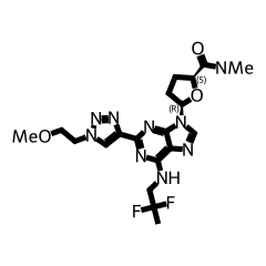 CNC(=O)[C@@H]1CC[C@H](n2cnc3c(NCC(C)(F)F)nc(-c4cn(CCOC)nn4)nc32)O1